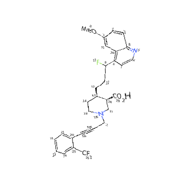 COc1ccc2nccc(C(F)CC[C@@H]3CCN(CC#Cc4ccccc4C(F)(F)F)C[C@@H]3C(=O)O)c2c1